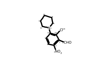 O=Cc1c([N+](=O)[O-])ccc(N2CCCCC2)c1Cl